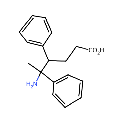 CC(N)(c1ccccc1)C(CCC(=O)O)c1ccccc1